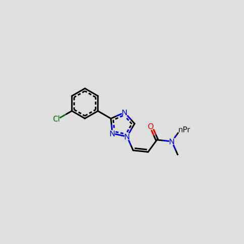 CCCN(C)C(=O)/C=C\n1cnc(-c2cccc(Cl)c2)n1